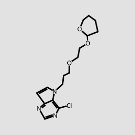 Clc1ncnc2ccn(CCCOCCOC3CCCCO3)c12